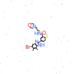 Cc1c(Br)cc2nc(C3=CCC(=S)C(C(=O)NCCCN4CCOCC4)=C3)[nH]c2c1C